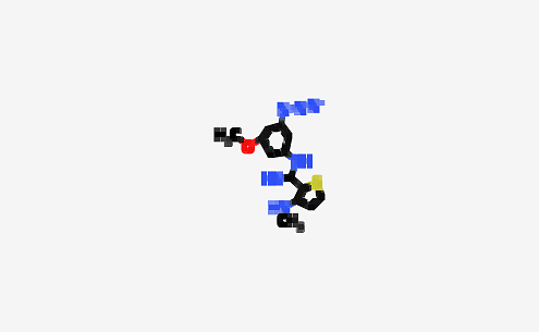 CNc1ccsc1C(=N)Nc1cc(N=[N+]=[N-])cc(OC)c1